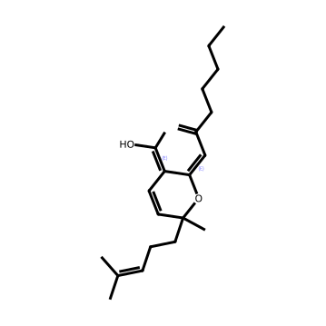 C=C(/C=C1/OC(C)(CCC=C(C)C)C=C/C1=C(/C)O)CCCCC